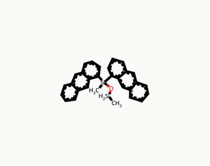 C[SiH2]O[Si](C)(c1cccc2cc3ccccc3cc12)c1cccc2cc3ccccc3cc12